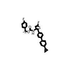 C[C@@H](OC(=O)Nc1cc(F)sc1-c1ccc(-c2ccc(C3CC3)cc2)cc1)c1ccc(F)cc1